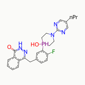 CCCc1cnc(N2CC[PH](O)(c3cc(Cc4n[nH]c(=O)c5ccccc45)ccc3F)CC2)nc1